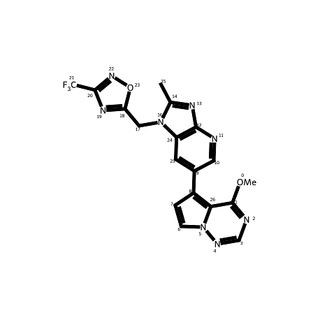 COc1ncnn2ccc(-c3cnc4nc(C)n(Cc5nc(C(F)(F)F)no5)c4c3)c12